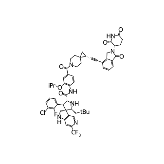 CC(C)Oc1cc(C(=O)N2CCC3(CC2)C[C@@H]3C#Cc2cccc3c2CN([C@H]2CCC(=O)NC2=O)C3=O)ccc1NC(=O)[C@@H]1N[C@@H](CC(C)(C)C)[C@@]2(CNc3cc(C(F)(F)F)ncc32)[C@H]1c1cccc(Cl)c1F